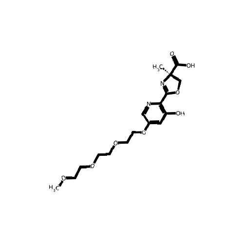 COCCOCCOCCOc1cnc(C2=N[C@@](C)(C(=O)O)CO2)c(O)c1